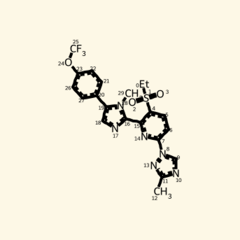 CCS(=O)(=O)c1ccc(-n2cnc(C)n2)nc1-c1ncc(-c2ccc(OC(F)(F)F)cc2)n1C